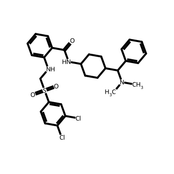 CN(C)C(c1ccccc1)C1CCC(NC(=O)c2ccccc2NCS(=O)(=O)c2ccc(Cl)c(Cl)c2)CC1